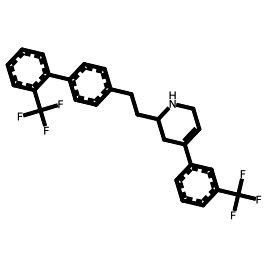 FC(F)(F)c1cccc(C2=CCNC(CCc3ccc(-c4ccccc4C(F)(F)F)cc3)C2)c1